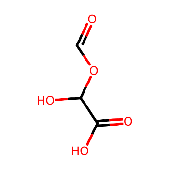 O=COC(O)C(=O)O